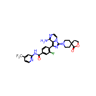 Nc1nccn2c(N3CCC4(CCOC4=O)CC3)nc(-c3ccc(C(=O)Nc4cc(C(F)(F)F)ccn4)cc3F)c12